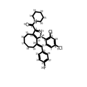 O=C(c1nn(-c2ccc(Cl)cc2Cl)c2c1CCCCCC2=Cc1ccc(F)cc1)N1CCCCC1